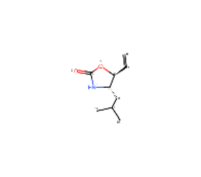 C=C[C@@H]1OC(=O)N[C@H]1CC(C)C